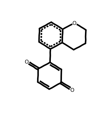 O=C1C=CC(=O)C(c2cccc3c2CCCO3)=C1